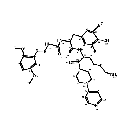 COc1ccc(OC)c(CCNC(=O)NC(Cc2cc(Br)c(O)c(Br)c2)C(=O)N[C@@H](CCCCN)C(=O)N2CCN(c3ccncc3)CC2)c1